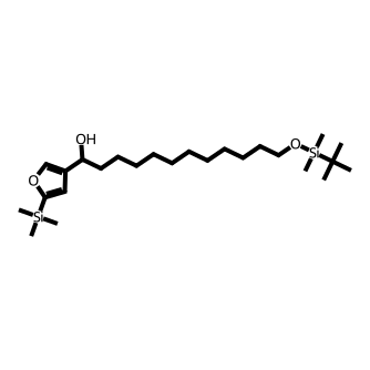 CC(C)(C)[Si](C)(C)OCCCCCCCCCCCC(O)c1coc([Si](C)(C)C)c1